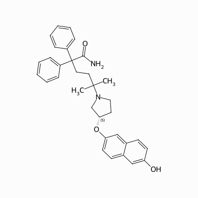 CC(C)(CCC(C(N)=O)(c1ccccc1)c1ccccc1)N1CC[C@H](Oc2ccc3cc(O)ccc3c2)C1